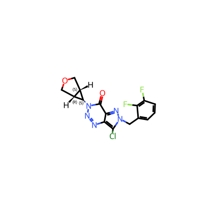 O=c1c2nn(Cc3cccc(F)c3F)c(Cl)c2nnn1[C@@H]1[C@@H]2COC[C@@H]21